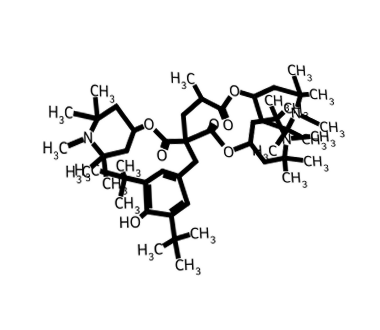 CC(CC(Cc1cc(C(C)(C)C)c(O)c(C(C)(C)C)c1)(C(=O)OC1CC(C)(C)N(C)C(C)(C)C1)C(=O)OC1CC(C)(C)N(C)C(C)(C)C1)C(=O)OC1CC(C)(C)N(C)C(C)(C)C1